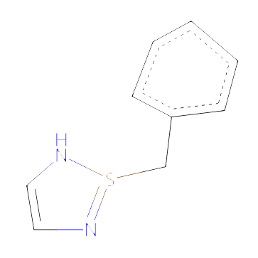 [C]1=CN=S(Cc2ccccc2)N1